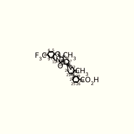 CC1C2Oc3ccc(C(F)(F)F)cc3CN2C(=O)[C@]12CC[C@@H](N1CC[C@@H](c3cccc(C(=O)O)c3)[C@H](C)C1)C2